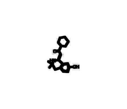 CC1(C)Cc2ccc(O)cc2C(=CC(=O)C2CCCCC2)N1